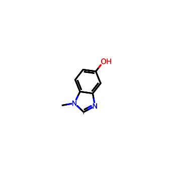 Cn1[c]nc2cc(O)ccc21